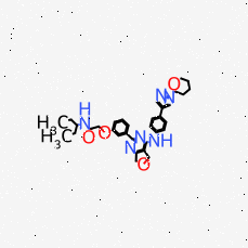 CCC(CC)NC(=O)COc1cccc(-c2nc3c(c(Nc4ccc(-c5cnn(C6CCCCO6)c5)cc4)n2)COC3)c1